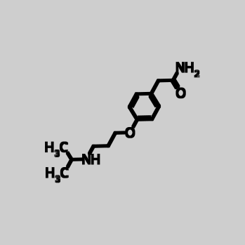 CC(C)NCCCOc1ccc(CC(N)=O)cc1